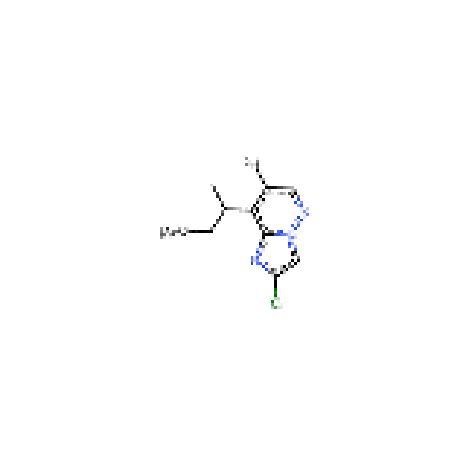 [2H]c1cnn2cc(Cl)nc2c1C(C)COC